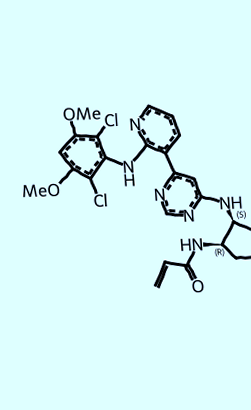 C=CC(=O)N[C@@H]1CCC[C@@H]1Nc1cc(-c2cccnc2Nc2c(Cl)c(OC)cc(OC)c2Cl)ncn1